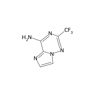 Nc1nc(C(F)(F)F)nn2ccnc12